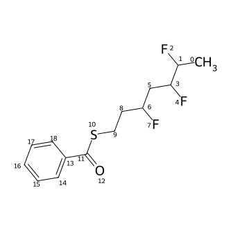 CC(F)C(F)CC(F)CCSC(=O)c1ccccc1